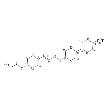 C=CCCC1CCC(/C=C/CCC2CCC(C3CCC(CCC)CC3)CC2)CC1